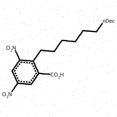 CCCCCCCCCCCCCCCCc1c(C(=O)O)cc([N+](=O)[O-])cc1[N+](=O)[O-]